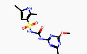 COc1nc(C)nc(NC(=O)NS(=O)(=O)c2cc(C)[nH]c2C)n1